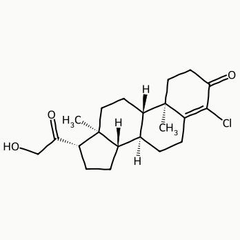 C[C@]12CC[C@H]3[C@@H](CCC4=C(Cl)C(=O)CC[C@@]43C)[C@@H]1CC[C@@H]2C(=O)CO